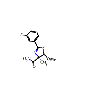 COC1SC(c2cccc(F)c2)=N[C@]1(C)C(N)=O